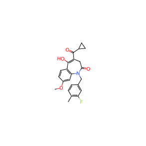 COc1ccc2c(c1)N(Cc1ccc(C)c(F)c1)C(=O)CC(C(=O)C1CC1)=C2O